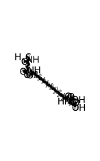 CNC(=O)CCC(NC(=O)CCCCCCCCCCCCCCCCC(=O)NC(CC(=O)O)C(=O)O)C(=O)O